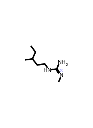 CCC(C)CCN/C(N)=N\C